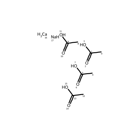 CC(=O)O.CC(=O)O.CC(=O)O.CC(=O)O.[CaH2].[NaH]